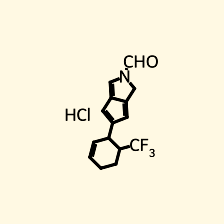 Cl.O=CN1C=C2C=C(C3C=CCCC3C(F)(F)F)C=C2C1